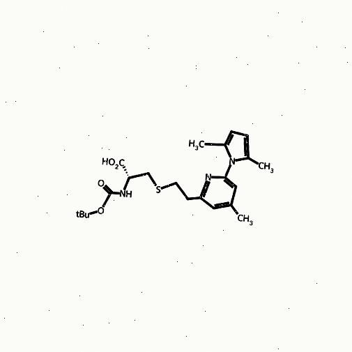 Cc1cc(CCSC[C@H](NC(=O)OC(C)(C)C)C(=O)O)nc(-n2c(C)ccc2C)c1